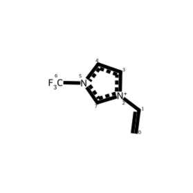 C=C[n+]1ccn(C(F)(F)F)c1